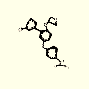 NC(=O)Nc1ccc(Cc2ccc(OC3COC3)c(-c3cccc(Cl)c3)c2)cc1